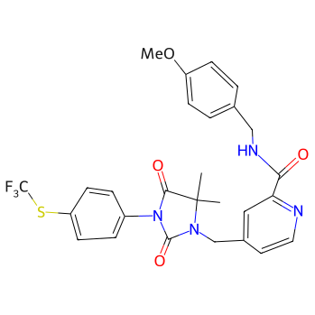 COc1ccc(CNC(=O)c2cc(CN3C(=O)N(c4ccc(SC(F)(F)F)cc4)C(=O)C3(C)C)ccn2)cc1